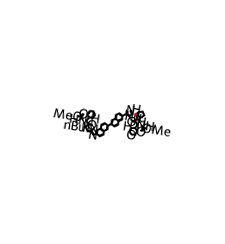 CCCCN(Cc1nc2ccc3cc(-c4ccc5cc(-c6cnc([C@@H]7[C@H]8CC[C@H](C8)N7C(=O)[C@@H](NC(=O)OC)C7CCOCC7)[nH]6)ccc5c4)ccc3c2[nH]1)C(=O)[C@H](NC(=O)OC)c1ccccc1